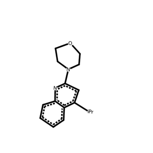 CC(C)c1cc(N2CCOCC2)nc2ccccc12